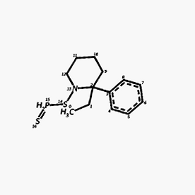 CCC1(c2ccccc2)CCCCN1S[PH2]=S